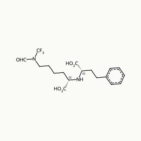 O=CN(CCCC[C@H](N[C@@H](CCc1ccccc1)C(=O)O)C(=O)O)C(F)(F)F